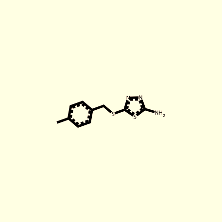 Cc1ccc(CSc2nnc(N)s2)cc1